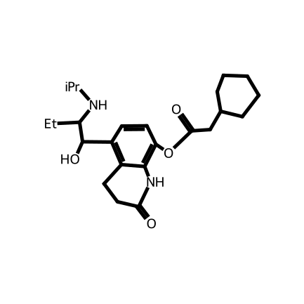 CCC(NC(C)C)C(O)c1ccc(OC(=O)CC2CCCCC2)c2c1CCC(=O)N2